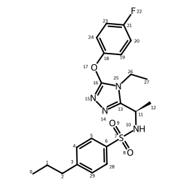 CCCc1ccc(S(=O)(=O)N[C@H](C)c2nnc(Oc3ccc(F)cc3)n2CC)cc1